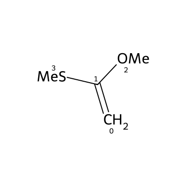 C=C(OC)SC